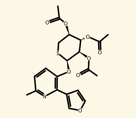 CC(=O)O[C@@H]1[C@@H](OC(C)=O)[C@@H](Oc2ccc(C)nc2-c2ccoc2)SC[C@H]1OC(C)=O